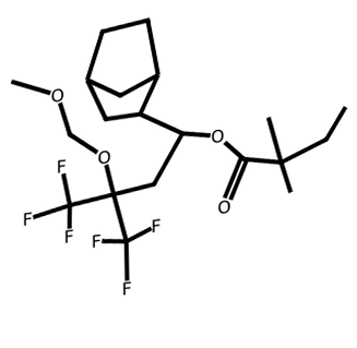 CCC(C)(C)C(=O)OC(CC(OCOC)(C(F)(F)F)C(F)(F)F)C1CC2CCC1C2